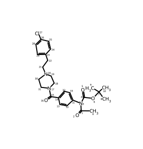 CC(=O)N(C(=O)OC(C)(C)C)c1ccc(C(=O)N2CCN(CCc3ccc(Cl)cc3)CC2)cc1